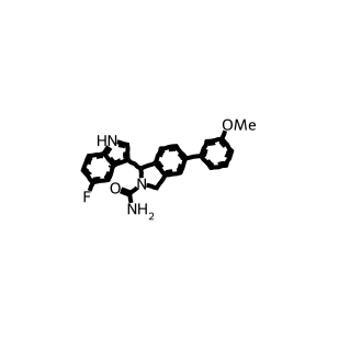 COc1cccc(-c2ccc3c(c2)CN(C(N)=O)C3c2c[nH]c3ccc(F)cc23)c1